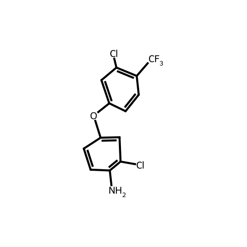 Nc1ccc(Oc2ccc(C(F)(F)F)c(Cl)c2)cc1Cl